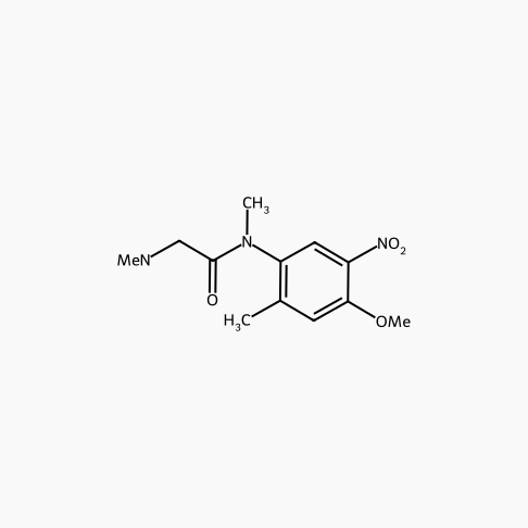 CNCC(=O)N(C)c1cc([N+](=O)[O-])c(OC)cc1C